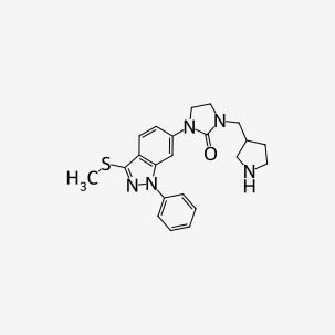 CSc1nn(-c2ccccc2)c2cc(N3CCN(CC4CCNC4)C3=O)ccc12